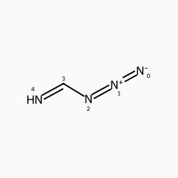 [N-]=[N+]=NC=N